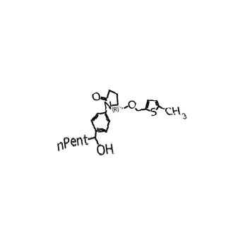 CCCCCC(O)c1ccc(N2C(=O)CC[C@@H]2COCc2ccc(C)s2)cc1